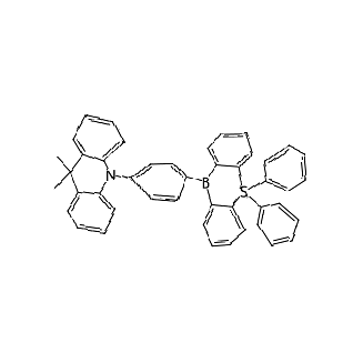 CC1(C)c2ccccc2N(c2ccc(B3c4ccccc4S(c4ccccc4)(c4ccccc4)c4ccccc43)cc2)c2ccccc21